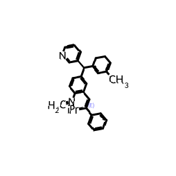 C=Nc1ccc(C(C2=CC(C)=CCC2)c2cccnc2)cc1/C=C(/c1ccccc1)C(C)C